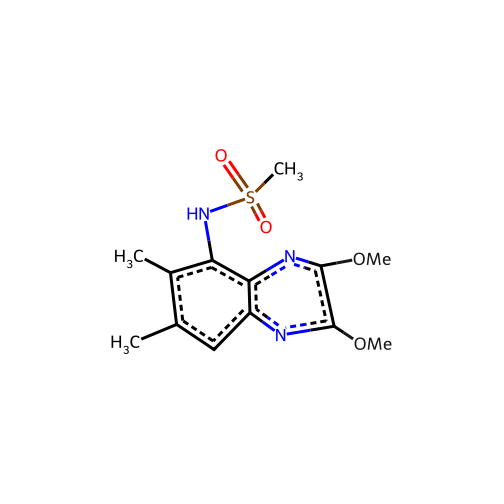 COc1nc2cc(C)c(C)c(NS(C)(=O)=O)c2nc1OC